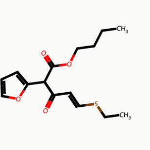 CCCCOC(=O)C(C(=O)C=CSCC)c1ccco1